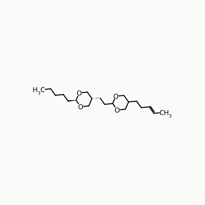 C/C=C/CCC1COC(CC[C@H]2CO[C@H](CCCCC)OC2)OC1